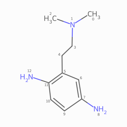 CN(C)CCc1cc(N)ccc1N